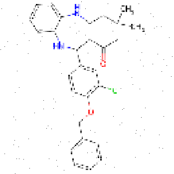 CC1(C)CC(=O)C2=C(C1)Nc1ccccc1NC2c1ccc(OCc2ccccc2)c(Cl)c1